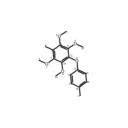 COc1c(C)c(OC)c(OC)c(Oc2ccc(C)cc2)c1OC